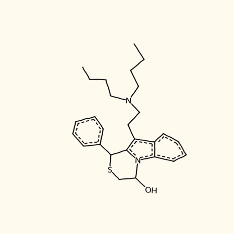 CCCCN(CCCC)CCc1c2n(c3ccccc13)C(O)CSC2c1ccccc1